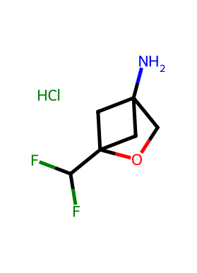 Cl.NC12COC(C(F)F)(C1)C2